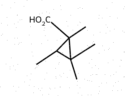 CC1C(C)(C)C1(C)C(=O)O